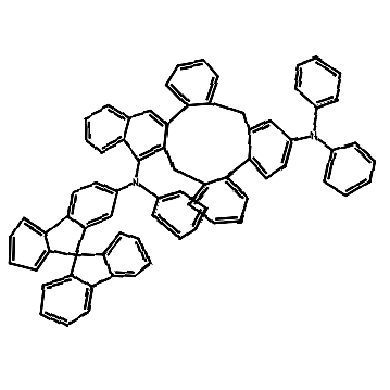 c1ccc(N(c2ccccc2)c2ccc3c(c2)Cc2ccccc2-c2cc4ccccc4c(N(c4ccccc4)c4ccc5c(c4)C4(c6ccccc6-c6ccccc64)c4ccccc4-5)c2Cc2ccccc2-3)cc1